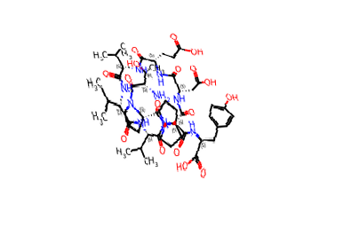 CC(C)[C@H](NC(=O)[C@H](CCC(=O)O)NC(=O)[C@H](CC(=O)O)NC(=O)[C@@H]1CCCN1C(=O)[C@@H]1CCCN1C(=O)[C@@H](N)[C@@H](C)O)C(=O)N[C@H](C(=O)N[C@H](C(=O)N1CCC[C@H]1C(=O)N[C@@H](Cc1ccc(O)cc1)C(=O)O)C(C)C)C(C)C